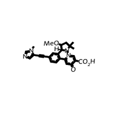 COC1CC(C)(C)N2[C@@H]1c1cc(C#Cc3cncn3C)ccc1-c1cc(=O)c(C(=O)O)cn12